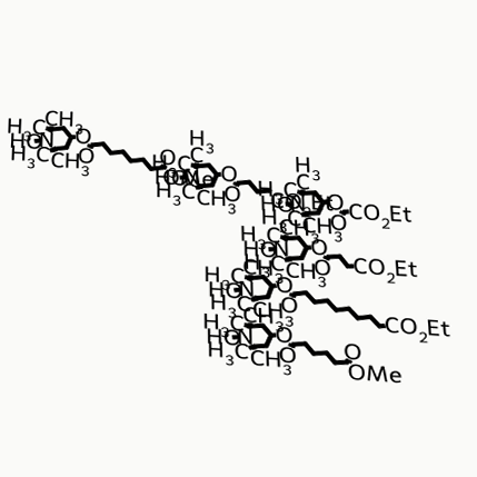 CCOC(=O)C(=O)OC1CC(C)(C)N(O)C(C)(C)C1.CCOC(=O)CCC(=O)OC1CC(C)(C)N(O)C(C)(C)C1.CCOC(=O)CCCC(=O)OC1CC(C)(C)N(O)C(C)(C)C1.CCOC(=O)CCCCCCCCC(=O)OC1CC(C)(C)N(O)C(C)(C)C1.COC(=O)CCCCC(=O)OC1CC(C)(C)N(O)C(C)(C)C1.COC(=O)CCCCCCC(=O)OC1CC(C)(C)N(O)C(C)(C)C1